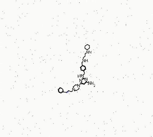 Nc1cc(N2CCN(C/C=C/c3ccccc3)CC2)nc(NCc2ccc(CNCCCNC3CCCCC3)cc2)n1